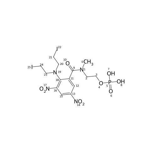 CN(CCOP(=O)(O)O)C(=O)c1cc([N+](=O)[O-])cc([N+](=O)[O-])c1N(CCI)CCI